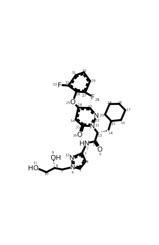 O=C(Nc1ccn(C[C@@H](O)CO)n1)[C@@H](CC1CCCCC1)n1ncc(Oc2c(F)cccc2F)cc1=O